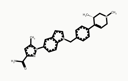 Cc1cc(C(N)=O)nn1-c1ccc2c(ccn2Cc2ccc(C3=CCN(C)C[C@H]3C)cc2)c1